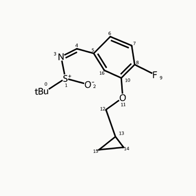 CC(C)(C)[S+]([O-])/N=C\c1ccc(F)c(OCC2CC2)c1